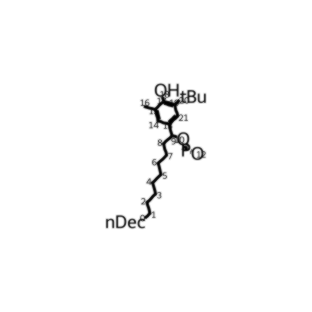 CCCCCCCCCCCCCCCCCCC(OP=O)c1cc(C)c(O)c(C(C)(C)C)c1